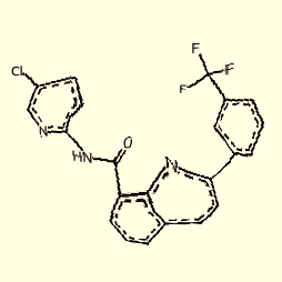 O=C(Nc1ccc(Cl)cn1)c1cccc2ccc(-c3cccc(C(F)(F)F)c3)nc12